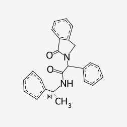 C[C@@H](NC(=O)C(c1ccccc1)N1Cc2ccccc2C1=O)c1ccccc1